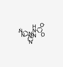 COc1cc(NC2=N[N+]3(c4ccc(N(C)C)nc4)C=CN=CC3=N2)cc(OC)c1